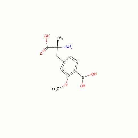 COc1cc(C[C@@](C)(N)C(=O)O)ccc1B(O)O